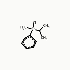 C[CH](C)[Sn]([CH3])([Cl])[c]1ccccc1